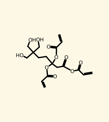 C=CC(=O)OC(=O)CC(CCC(CO)(CO)CO)(OC(=O)C=C)OC(=O)C=C